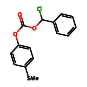 CSc1ccc(OC(=O)OC(Cl)c2ccccc2)cc1